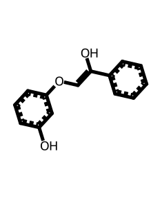 OC(=COc1cccc(O)c1)c1ccccc1